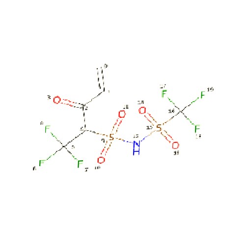 C=CC(=O)C(C(F)(F)F)S(=O)(=O)NS(=O)(=O)C(F)(F)F